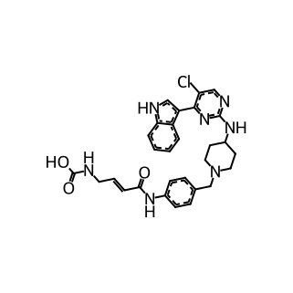 O=C(O)NCC=CC(=O)Nc1ccc(CN2CCC(Nc3ncc(Cl)c(-c4c[nH]c5ccccc45)n3)CC2)cc1